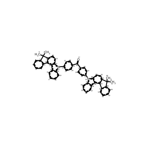 CC1(C)c2ccccc2-c2c1ccc1c2c2ccccc2n1-c1ccc(C(=O)c2ccc(-n3c4ccccc4c4c5c(ccc43)C(C)(C)c3ccccc3-5)cc2)cc1